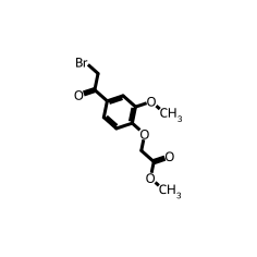 COC(=O)COc1ccc(C(=O)CBr)cc1OC